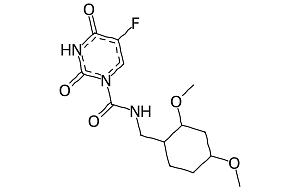 COC1CCC(CNC(=O)n2cc(F)c(=O)[nH]c2=O)C(OC)C1